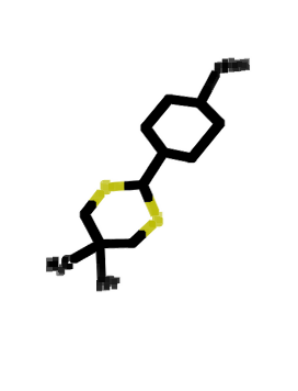 CCCCCCC1CCC(C2SCC(C)(CCC)CS2)CC1